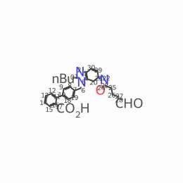 CCCCc1nc2c(n1Cc1ccc(-c3ccccc3C(=O)O)cc1)CC(=NC(=O)CCCC=O)C=C2